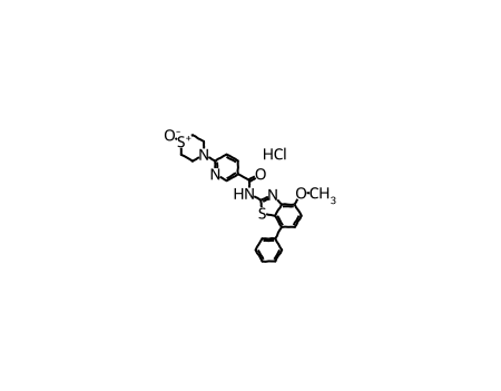 COc1ccc(-c2ccccc2)c2sc(NC(=O)c3ccc(N4CC[S+]([O-])CC4)nc3)nc12.Cl